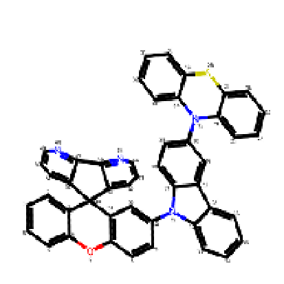 c1ccc2c(c1)Oc1ccc(-n3c4ccccc4c4cc(N5c6ccccc6Sc6ccccc65)ccc43)cc1C21c2cccnc2-c2ncccc21